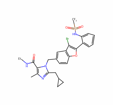 CCNC(=O)c1c(C)nc(CC2CC2)n1Cc1ccc2oc(-c3ccccc3NS(=O)(=O)C(F)(F)F)c(Br)c2c1